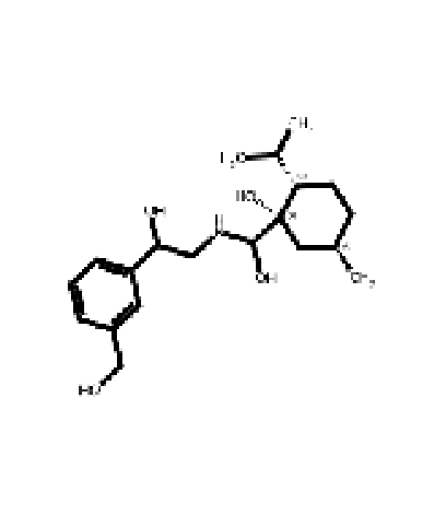 CC(C)[C@@H]1CC[C@@H](C)C[C@@]1(O)C(O)NCC(O)c1cccc(CO)c1